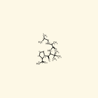 CC(C)CNC(C)C(=O)NC(C(=O)N1CCCC1C(=O)O)C(C)(C)C